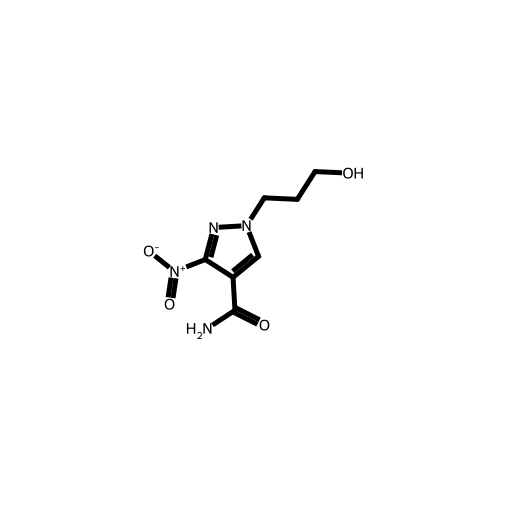 NC(=O)c1cn(CCCO)nc1[N+](=O)[O-]